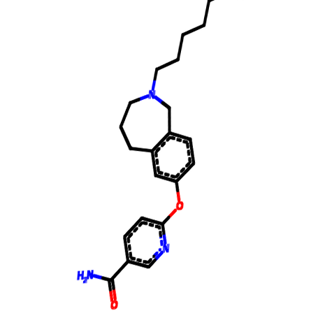 CCCCCCN1CCCc2cc(Oc3ccc(C(N)=O)cn3)ccc2C1